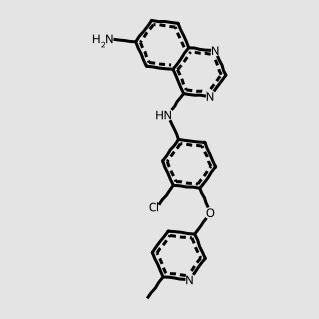 Cc1ccc(Oc2ccc(Nc3ncnc4ccc(N)cc34)cc2Cl)cn1